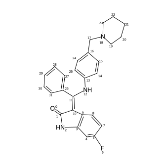 O=C1Nc2cc(F)ccc2C1=C(Nc1ccc(CN2CCCCC2)cc1)c1ccccc1